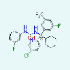 OC(Nc1cccc(F)c1)N[C@](c1cc(F)cc(C(F)(F)F)c1)(c1ccc(Cl)cn1)C1CCCCC1